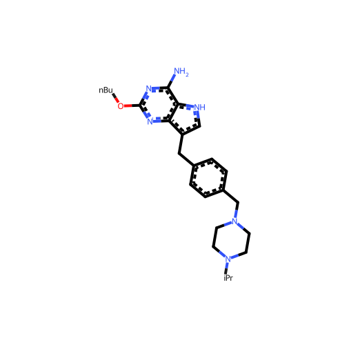 CCCCOc1nc(N)c2[nH]cc(Cc3ccc(CN4CCN(C(C)C)CC4)cc3)c2n1